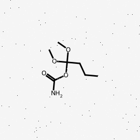 CCCC(OC)(OC)OC(N)=O